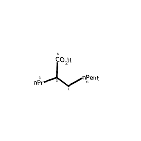 [CH2]CCCCCC(CCC)C(=O)O